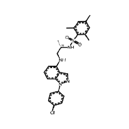 Cc1cc(C)c(S(=O)(=O)N[C@@H](C)CNc2cccc3c2cnn3-c2ccc(Cl)cc2)c(C)c1